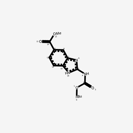 CCCCOC(=O)Nc1nc2cc(C(=O)OC)ccc2[nH]1